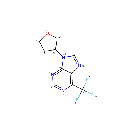 FC(F)(F)c1ncnc2c1ncn2C1CCOC1